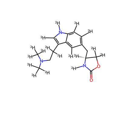 [2H]c1c(C[C@]2([2H])N([2H])C(=O)OC2([2H])[2H])c([2H])c2c(C([2H])([2H])CN(C([2H])([2H])[2H])C([2H])([2H])[2H])c([2H])n([2H])c2c1[2H]